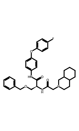 O=C(CN1CCC2CCCCC2C1)N[C@@H](COCc1ccccc1)C(=O)Nc1ccc(Oc2ccc(F)cc2)cc1